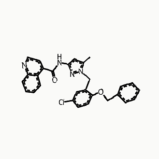 Cc1cc(NC(=O)c2ccnc3ccccc23)nn1Cc1cc(Cl)ccc1OCc1ccccc1